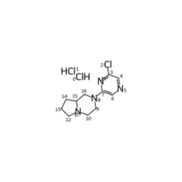 Cl.Cl.Clc1cncc(N2CCN3CCCC3C2)n1